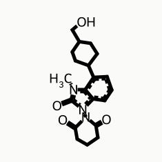 Cn1c(=O)n(N2C(=O)CCCC2=O)c2cccc(C3CCC(CO)CC3)c21